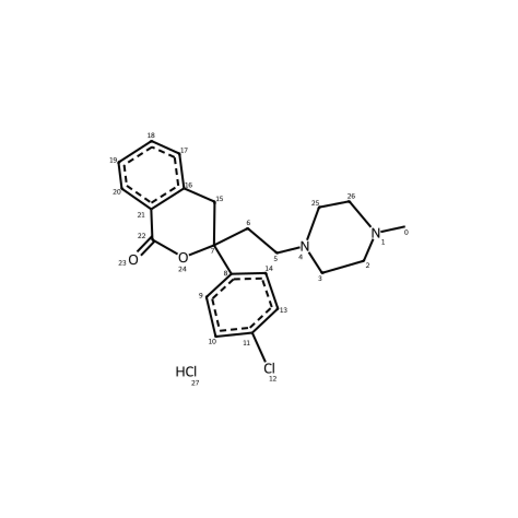 CN1CCN(CCC2(c3ccc(Cl)cc3)Cc3ccccc3C(=O)O2)CC1.Cl